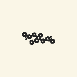 c1ccc(-c2ccc3c(-c4cccc(-c5ccc6sc7ccccc7c6c5)c4)c4ccccc4c(-c4cccc(-c5ccc6sc7ccccc7c6c5)c4)c3c2)cc1